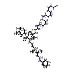 CC/C=C\C/C=C\C/C=C\C/C=C\C/C=C\CCCC(=O)N[C@@H](CCCCNC(=O)C/C=C/c1cccnc1)C(=O)OC(CO)CO